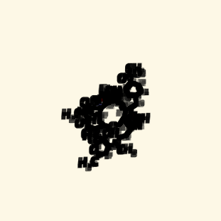 CC[C@H]1OC(=O)[C@H](C)C(=O)[C@H](C)[C@@H](O[C@@H]2O[C@H](C)C[C@H](N(C)CCc3cn([C@H](CF)Cc4ccc(S(C)(=O)=O)cc4)nn3)[C@H]2O)[C@@]2(C)C[C@@H](C)/C(=N\C(C)=O)[C@H](C)[C@@H](CCC(O)(CO)CO2)[C@]1(C)O